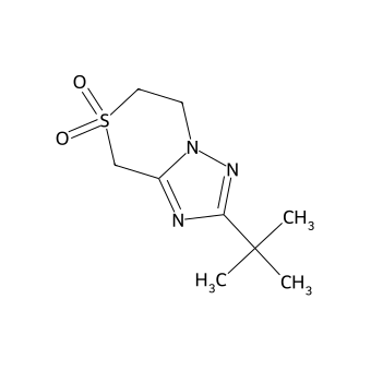 CC(C)(C)c1nc2n(n1)CCS(=O)(=O)C2